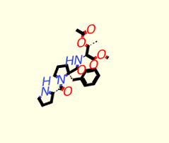 COC(=O)[C@H](NC(=O)[C@]1(Cc2ccccc2)CCCN1C(=O)[C@@H]1CCCN1)[C@@H](C)OC(C)=O